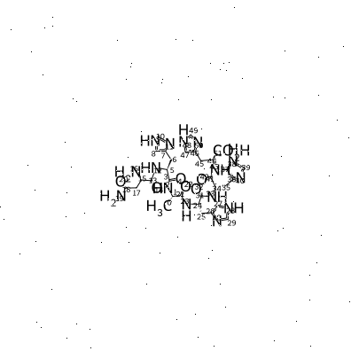 C[C@H](NC(=O)[C@H](Cc1c[nH]cn1)NC(=O)[C@@H](N)CC(N)=O)C(=O)N[C@@H](Cc1c[nH]cn1)C(=O)N[C@@H](Cc1c[nH]cn1)C(=O)N[C@@H](Cc1c[nH]cn1)C(=O)O